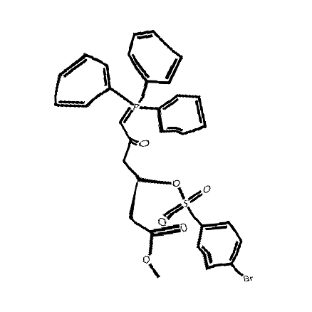 COC(=O)C[C@@H](CC(=O)C=P(c1ccccc1)(c1ccccc1)c1ccccc1)OS(=O)(=O)c1ccc(Br)cc1